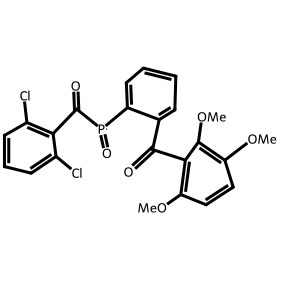 COc1ccc(OC)c(C(=O)c2ccccc2[P](=O)C(=O)c2c(Cl)cccc2Cl)c1OC